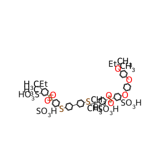 CCC(C)(C)Oc1ccc(Oc2ccc(Oc3ccc(S(=O)(=O)c4ccc(C(C)(CC)C(C)Sc5ccc(-c6ccc(Sc7ccc(S(=O)(=O)c8ccc(C(C)(C)CC)c(S(=O)(=O)O)c8)cc7S(=O)(=O)O)cc6)cc5)c(S(=O)(=O)O)c4)cc3S(=O)(=O)O)cc2)cc1